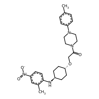 Cc1ccc(N2CCN(C(=O)CO[C@H]3CC[C@H](Nc4ccc([N+](=O)[O-])cc4C)CC3)CC2)cc1